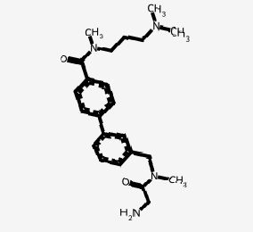 CN(C)CCCN(C)C(=O)c1ccc(-c2cccc(CN(C)C(=O)CN)c2)cc1